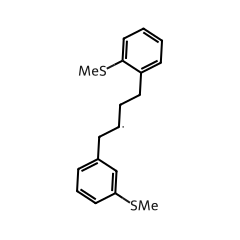 CSc1cccc(C[CH]CCc2ccccc2SC)c1